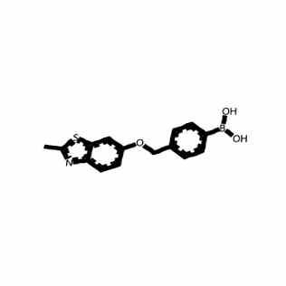 Cc1nc2ccc(OCc3ccc(B(O)O)cc3)cc2s1